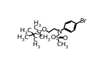 CC(C)(C)[Si](C)(C)OCCN(c1ccc(Br)cc1)S(C)(=O)=O